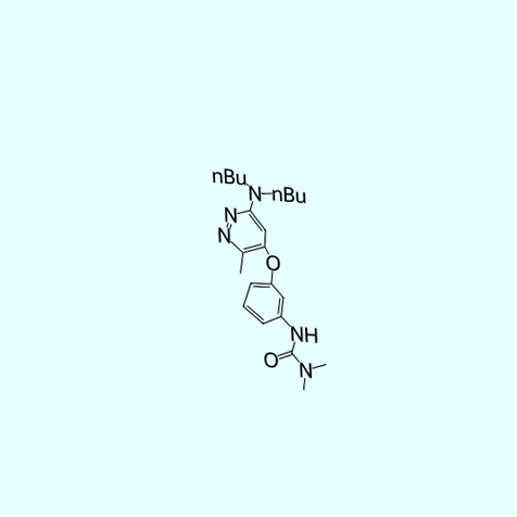 CCCCN(CCCC)c1cc(Oc2cccc(NC(=O)N(C)C)c2)c(C)nn1